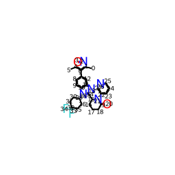 Cc1noc(C)c1-c1ccc2c(c1)nc(C1CCCC(=O)N1c1cccnc1)n2C1CCC(F)(F)CC1